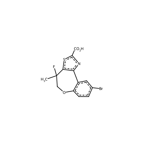 CC1(F)COc2ccc(Br)cc2-c2nc(C(=O)O)sc21